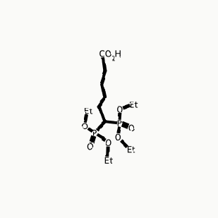 CCOP(=O)(OCC)C(CCCCC(=O)O)P(=O)(OCC)OCC